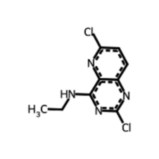 CCNc1nc(Cl)nc2ccc(Cl)nc12